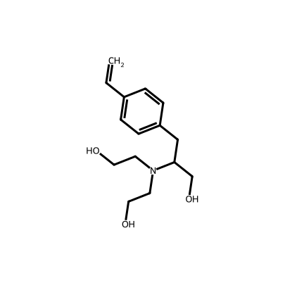 C=Cc1ccc(CC(CO)N(CCO)CCO)cc1